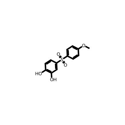 COc1ccc(S(=O)(=O)c2ccc(O)c(O)c2)cc1